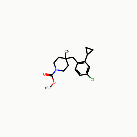 CC(C)(C)OC(=O)N1CCC(C#N)(Cc2ccc(Cl)cc2C2CC2)CC1